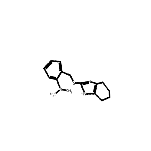 CN(C)c1ccccc1CSc1nc2c([nH]1)CCCC2